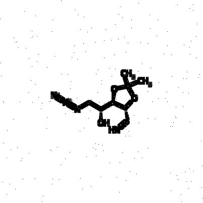 CC1(C)O[C@H]([C@H](O)CN=[N+]=[N-])[C@@H](C=N)O1